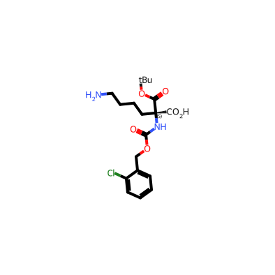 CC(C)(C)OC(=O)[C@@](CCCCN)(NC(=O)OCc1ccccc1Cl)C(=O)O